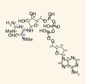 CN/C(N)=N\C(NC1OC(COP(O)OP(=O)(O)OP(O)OOCC2CCC(n3cnc4c(N)ncnc43)O2)C(O)C1O)=C(/C=O)NC